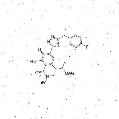 CO[C@@H](C)[C@@H]1CN(C(C)C)C(=O)c2c(O)c(=O)c(-c3nnc(Cc4ccc(F)cc4)s3)cn21